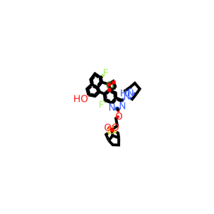 O=S1(=O)CC2CCC(C1)C2CCCOc1nc(N2CC3CCC(C2)N3)c2cc(Cl)c(-c3cc(O)cc4ccc(F)c(C56CC(C5)C6)c34)c(F)c2n1